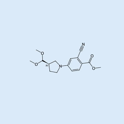 COC(=O)c1ccc(N2CC[C@@H](C(OC)OC)C2)cc1C#N